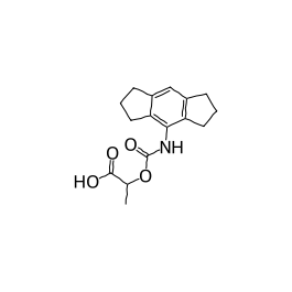 CC(OC(=O)Nc1c2c(cc3c1CCC3)CCC2)C(=O)O